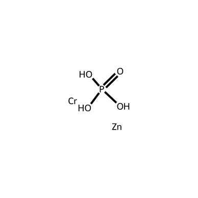 O=P(O)(O)O.[Cr].[Zn]